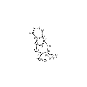 O=C[N]1[Ni][n]2cc(c3ccccc32)C[C@H]1C(=O)O